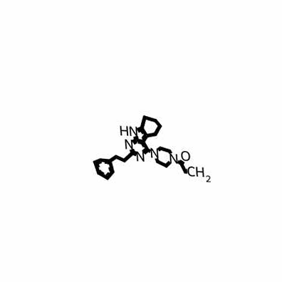 C=CC(=O)N1CCN(c2nc(CCc3ccccc3)nc3[nH]c4c(c23)CCCC4)CC1